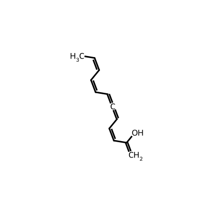 C=C(O)/C=C\C=C=C/C=C\C=C/C